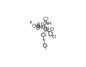 Cc1ccc(C#Cc2ccc(-c3c(CNS(=O)(=O)N4CC[C@@H](F)C4)c(C(=O)NN4CCCCC4)nn3-c3ccc(Cl)cc3Cl)s2)cc1